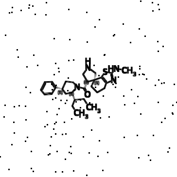 CCC(CC)[C@@H]1C[C@H](c2ccccc2)CCN1C(=O)[C@@H]1CNC[C@]12CCCc1nc(NC)sc12